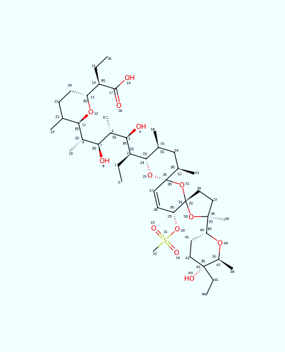 CC[C@@H]([C@H](O)[C@@H](C)[C@@H](O)[C@H](C)[C@@H]1O[C@@H]([C@@H](CC)C(=O)O)CCC1C)[C@H]1O[C@]2(C=C[C@@H](OS(C)(=O)=O)[C@]3(CC[C@@](C)([C@H]4CC[C@](O)(CC)[C@H](C)O4)O3)O2)[C@H](C)C[C@@H]1C